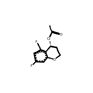 CC(=O)O[C@@H]1CCOc2cc(F)cc(F)c21